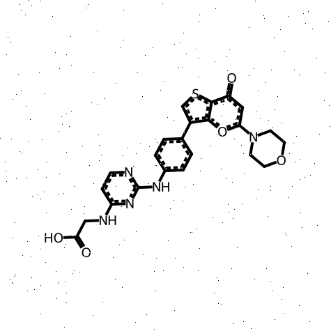 O=C(O)CNc1ccnc(Nc2ccc(-c3csc4c(=O)cc(N5CCOCC5)oc34)cc2)n1